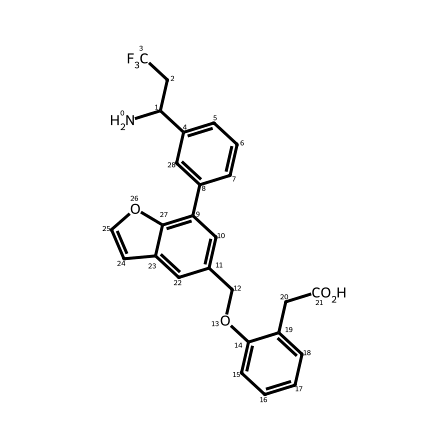 NC(CC(F)(F)F)c1cccc(-c2cc(COc3ccccc3CC(=O)O)cc3ccoc23)c1